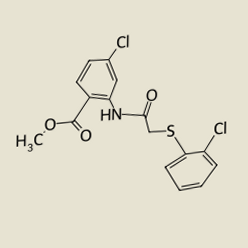 COC(=O)c1ccc(Cl)cc1NC(=O)CSc1ccccc1Cl